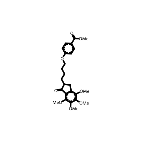 COC(=O)c1ccc(OCCCCC2Cc3c(OC)c(OC)c(OC)c(OC)c3C2=O)cc1